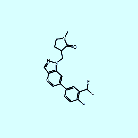 CN1CCC(Cn2ncc3ncc(-c4ccc(F)c(C(F)F)c4)cc32)C1=O